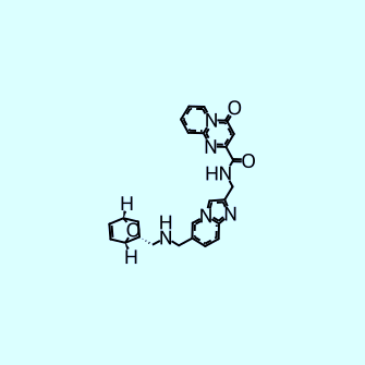 O=C(NCc1cn2cc(CNC[C@H]3C[C@H]4C=C[C@@H]3O4)ccc2n1)c1cc(=O)n2ccccc2n1